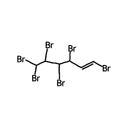 BrC=CC(Br)C(Br)C(Br)C(Br)Br